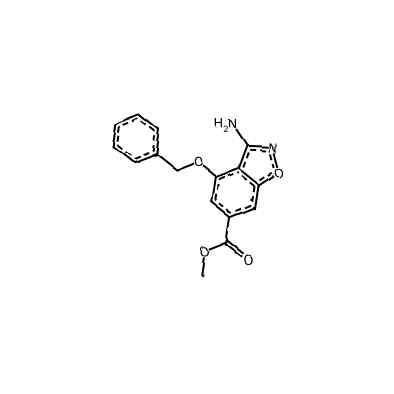 COC(=O)c1cc(OCc2ccccc2)c2c(N)noc2c1